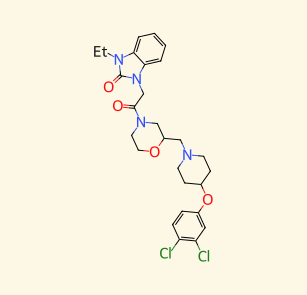 CCn1c(=O)n(CC(=O)N2CCOC(CN3CCC(Oc4ccc(Cl)c(Cl)c4)CC3)C2)c2ccccc21